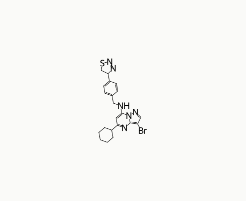 Brc1cnn2c(NCc3ccc(C4CSN=N4)cc3)cc(C3CCCCC3)nc12